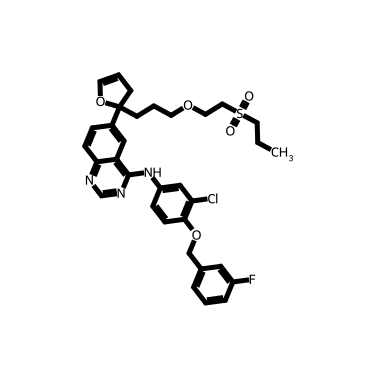 CCCS(=O)(=O)CCOCCCC1(c2ccc3ncnc(Nc4ccc(OCc5cccc(F)c5)c(Cl)c4)c3c2)CC=CO1